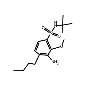 CCCCc1ccc(S(=O)(=O)NC(C)(C)C)c(OC)c1N